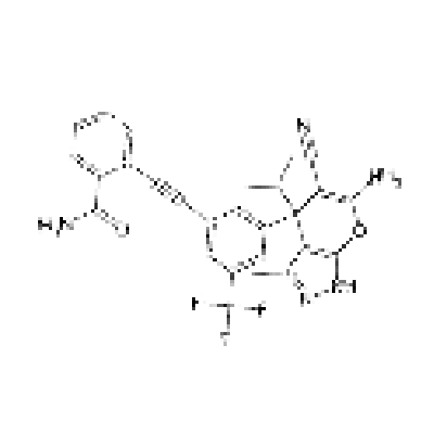 Cc1n[nH]c2c1C(c1cc(C#Cc3ccccc3C(N)=O)cc(C(F)(F)F)c1)(C(C)C)C(C#N)=C(N)O2